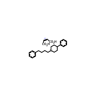 O=C(O)/C=C\C(=O)O.c1ccc(CCCCN2CCC(c3ccccc3)CC2)cc1